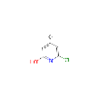 Oc1cccc(Cl)n1.[K]